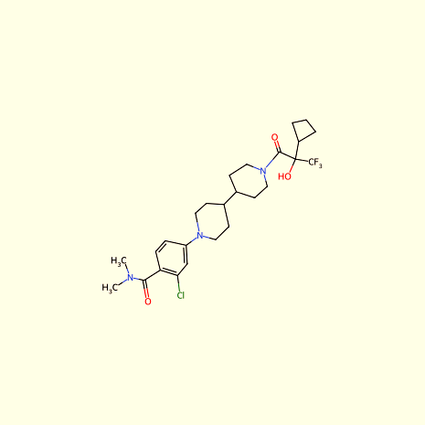 CN(C)C(=O)c1ccc(N2CCC(C3CCN(C(=O)C(O)(C4CCC4)C(F)(F)F)CC3)CC2)cc1Cl